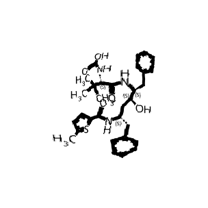 Cc1ccc(C(=O)N[C@@H](Cc2ccccc2)C[C@H](O)[C@H](Cc2ccccc2)NC(=O)[C@@H](NC(=O)O)C(C)(C)C)s1